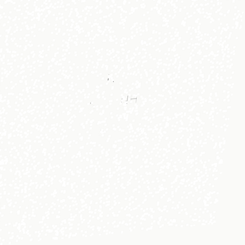 c1csc(Sc2ncc[nH]2)c1